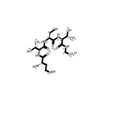 CSCC[C@H](N)C(=O)N[C@H](C(=O)N[C@@H](CC(C)C)C(=O)N[C@H](C(=O)NCC(=O)O)[C@@H](C)O)[C@@H](C)O